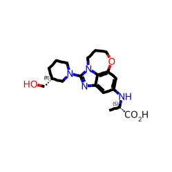 C[C@H](Nc1cc2c3c(c1)nc(N1CCC[C@@H](CO)C1)n3CCCO2)C(=O)O